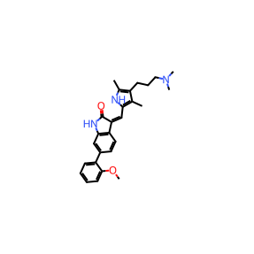 COc1ccccc1-c1ccc2c(c1)NC(=O)C2=Cc1[nH]c(C)c(CCCN(C)C)c1C